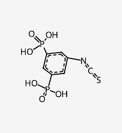 O=P(O)(O)c1cc(N=C=S)cc(P(=O)(O)O)c1